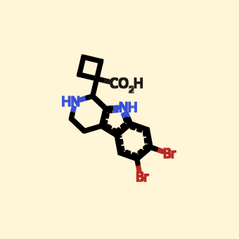 O=C(O)C1(C2NCCc3c2[nH]c2cc(Br)c(Br)cc32)CCC1